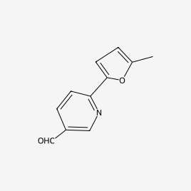 Cc1ccc(-c2ccc(C=O)cn2)o1